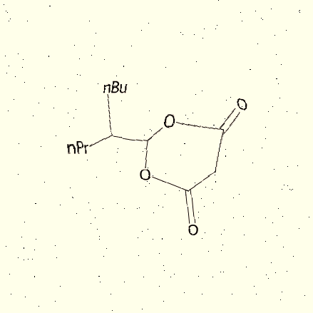 CCCCC(CCC)C1OC(=O)CC(=O)O1